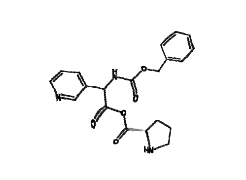 O=C(NC(C(=O)OC(=O)[C@@H]1CCCN1)c1cccnc1)OCc1ccccc1